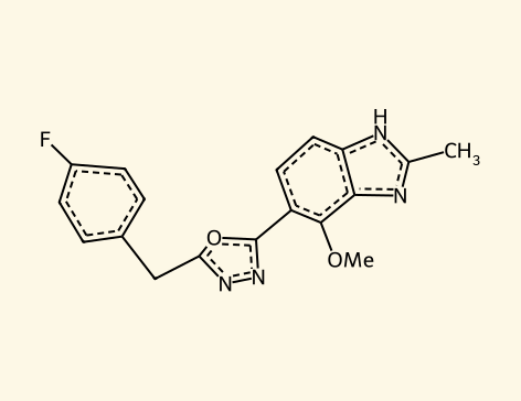 COc1c(-c2nnc(Cc3ccc(F)cc3)o2)ccc2[nH]c(C)nc12